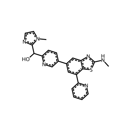 CNc1nc2cc(-c3ccc(C(O)c4nccn4C)nc3)cc(-c3ccccn3)c2s1